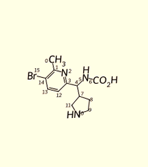 Cc1nc(C(NC(=O)O)C2CCNC2)ccc1Br